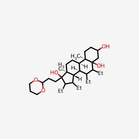 CCC1C(CC)C2(O)CC(O)CC[C@]2(C)[C@@H]2CC[C@@]3(C)[C@@H](C(CC)C(CC)C3(O)CCC3OCCCO3)[C@H]12